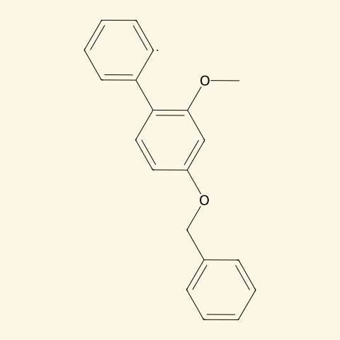 COc1cc(OCc2ccccc2)ccc1-c1[c]cccc1